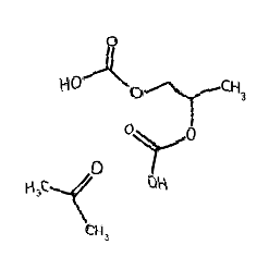 CC(C)=O.CC(COC(=O)O)OC(=O)O